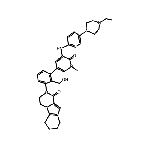 CCN1CCN(c2ccc(Nc3cc(-c4cccc(N5CCn6c(cc7c6CCCC7)C5=O)c4CO)cn(C)c3=O)nc2)CC1